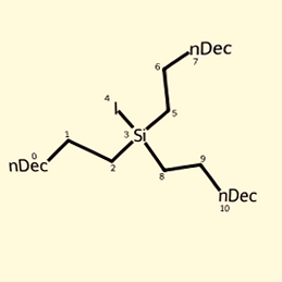 CCCCCCCCCCCC[Si](I)(CCCCCCCCCCCC)CCCCCCCCCCCC